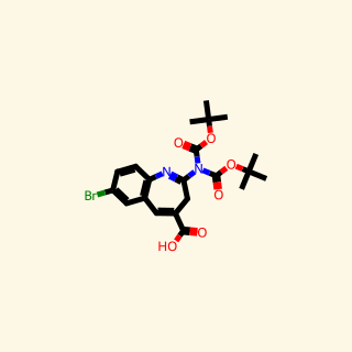 CC(C)(C)OC(=O)N(C(=O)OC(C)(C)C)C1=Nc2ccc(Br)cc2C=C(C(=O)O)C1